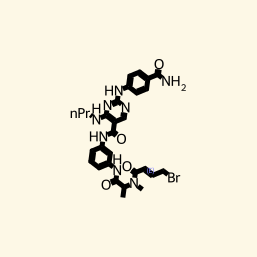 CCCNc1nc(Nc2ccc(C(N)=O)cc2)ncc1C(=O)Nc1cccc(NC(=O)C(C)N(C)C(=O)/C=C/CBr)c1